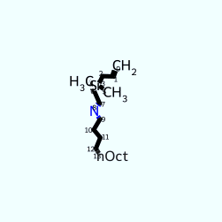 C=CC[Si](C)(C)CC=NCCCCCCCCCCCC